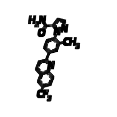 Cc1cc(-c2ccc3cc(C(F)(F)F)ccc3n2)ccc1-n1nccc1C(N)=O